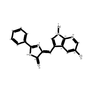 CC(=O)n1cc(/C=C2\N=C(c3ccccc3)OC2=O)c2cc(Cl)cnc21